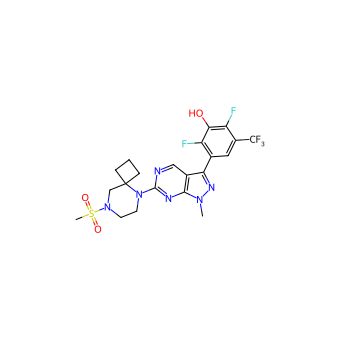 Cn1nc(-c2cc(C(F)(F)F)c(F)c(O)c2F)c2cnc(N3CCN(S(C)(=O)=O)CC34CCC4)nc21